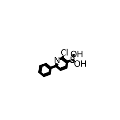 OB(O)c1ccc(-c2ccccc2)nc1Cl